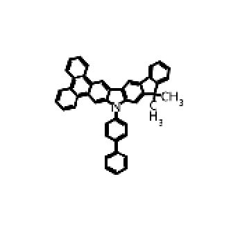 CC1(C)c2ccccc2-c2cc3c4cc5c6ccccc6c6ccccc6c5cc4n(-c4ccc(-c5ccccc5)cc4)c3cc21